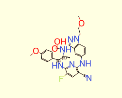 COCCn1ncc2cc(Nc3nc(N[C@H](c4ccc(OC)cc4)[C@H](C)NC(=O)O)c(F)cc3C#N)ccc21